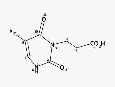 O=C(O)CCn1c(=O)[nH]cc(F)c1=O